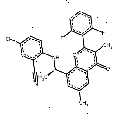 Cc1cc([C@@H](C)Nc2ccc(Cl)nc2C#N)c2oc(-c3c(F)cccc3F)c(C)c(=O)c2c1